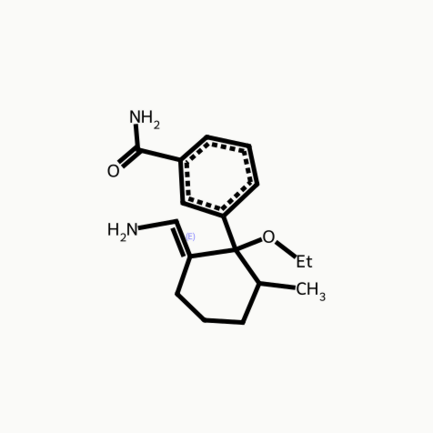 CCOC1(c2cccc(C(N)=O)c2)/C(=C/N)CCCC1C